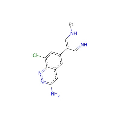 CCN/C=C(\C=N)c1cc(Cl)c2nnc(N)cc2c1